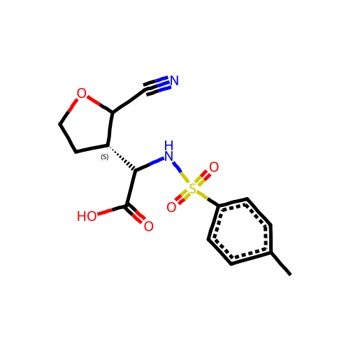 Cc1ccc(S(=O)(=O)NC(C(=O)O)[C@@H]2CCOC2C#N)cc1